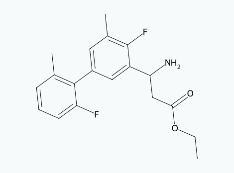 CCOC(=O)CC(N)c1cc(-c2c(C)cccc2F)cc(C)c1F